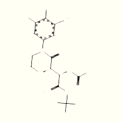 CC(=O)O[C@@H](C(=O)OC(C)(C)C)[C@H]1OCCN(c2cc(F)c(F)c(F)c2)C1=O